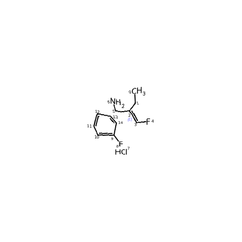 CC/C(=C\F)CN.Cl.Fc1ccccc1